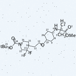 COC(=O)C(C)(C)NC1CCC(OCCC2CCN(C(=O)OC(C)(C)C)CC2(F)F)CC1